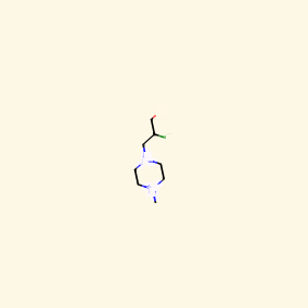 CN1CCN(CC(F)C[O])CC1